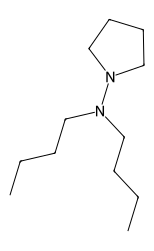 CCCCN(CCCC)N1CCCC1